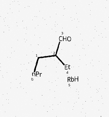 CCCCC(C=O)CC.[RbH]